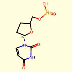 O=c1ccn([C@@H]2CCC(CO[PH](=O)O)O2)c(=O)[nH]1